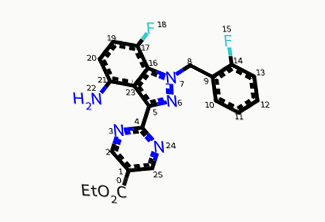 CCOC(=O)c1cnc(-c2nn(Cc3ccccc3F)c3c(F)ccc(N)c23)nc1